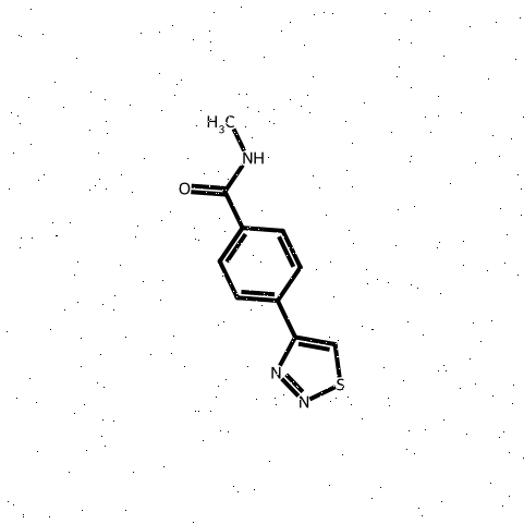 CNC(=O)c1ccc(-c2csnn2)cc1